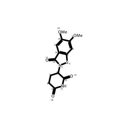 COc1cc2sn(C3CCC(=O)NC3=O)c(=O)c2cc1OC